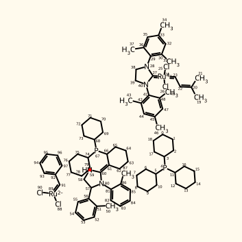 C1CCC(P(C2CCCCC2)C2CCCCC2)CC1.CC(C)=C[CH]=[Ru-4]([Cl])([Cl])=[C]1N(c2c(C)cc(C)cc2C)CCN1c1c(C)cc(C)cc1C.Cc1ccccc1C1CNC(=C2CCCCC2P(C2CCCCC2)C2CCCCC2)N1c1ccccc1C.[Cl][Ru-2]([Cl])=[CH]c1ccccc1